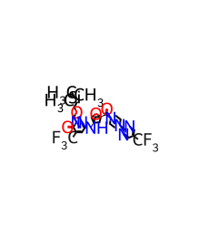 C[Si](C)(C)CCOCn1nc(N[C@]23CO[C@](C(=O)N4CCN(c5ncc(C(F)(F)F)cn5)CC4)(C2)C3)cc(C(F)(F)F)c1=O